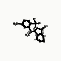 Cc1[c]cc(C(F)(F)F)c(N(C)C2CC(=O)c3ccccc32)c1